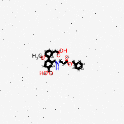 COc1ccc(CC(=O)O)cc1-c1ccc(C(=O)O)cc1CNCCC(=O)OCc1ccccc1